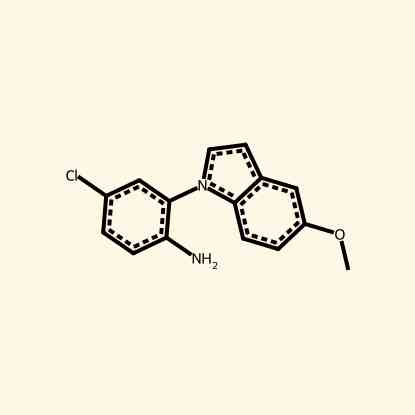 COc1ccc2c(ccn2-c2cc(Cl)ccc2N)c1